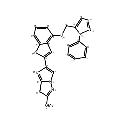 COc1nn2cc(-c3cc4c(OCc5cnnn5-c5ccccc5)cccc4o3)nc2s1